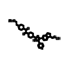 COCCN1CCC(C(=O)C(=O)N2CCC(c3nc(-c4ccc5c(c4)C=CC5C=NO)c(-c4ccncc4)[nH]3)CC2)CC1